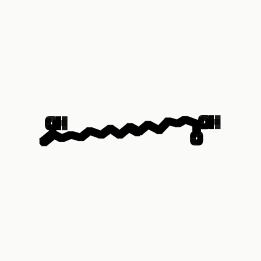 C=C(O)CCCCCCC/C=C/CCCCCC(=O)O